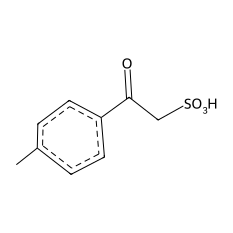 Cc1ccc(C(=O)CS(=O)(=O)O)cc1